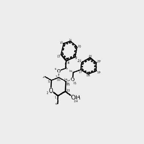 CC1OC(C)[C@H](OCc2ccccc2)[C@H](OCc2ccccc2)C1O